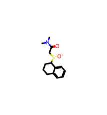 CN(C)C(=O)C[S+]([O-])C1CCCc2ccccc21